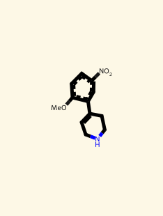 COc1ccc([N+](=O)[O-])cc1C1=CCNCC1